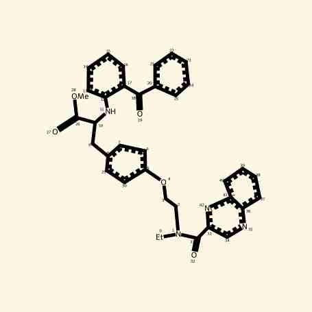 CCN(CCOc1ccc(CC(Nc2ccccc2C(=O)c2ccccc2)C(=O)OC)cc1)C(=O)c1cnc2ccccc2n1